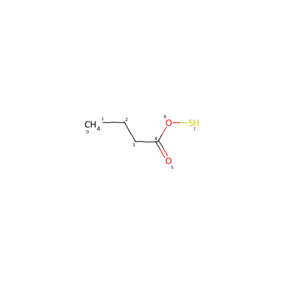 C.CCCC(=O)OS